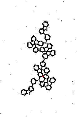 c1ccc(C2(c3ccc(-c4ccc5c(c4)-c4ccccc4C54c5ccccc5-c5c(N(c6cccc(-c7cccc8c7sc7ccccc78)c6)c6ccc7c(c6)-c6ccccc6C7(c6ccccc6)c6ccccc6)cccc54)cc3)c3ccccc3-c3cc(N(c4cccc(-c5ccc6oc7ccccc7c6c5)c4)c4cccc5c4-c4ccccc4C54c5ccccc5-c5ccccc54)ccc32)cc1